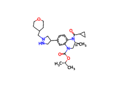 CC(C)OC(=O)N1C[C@H](C)N(C(=O)C2CC2)c2ccc(C3CNN(CC4CCOCC4)C3)cc21